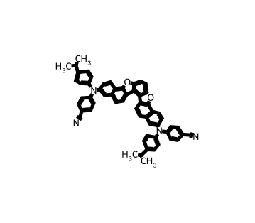 CC(C)c1ccc(N(c2ccc(C#N)cc2)c2ccc3c(ccc4c3oc3ccc5oc6c7ccc(N(c8ccc(C#N)cc8)c8ccc(C(C)C)cc8)cc7ccc6c5c34)c2)cc1